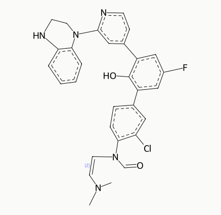 CN(C)/C=C\N(C=O)c1ccc(-c2cc(F)cc(-c3ccnc(N4CCNc5ccccc54)c3)c2O)cc1Cl